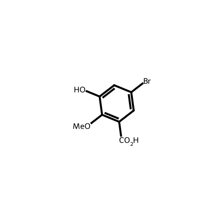 COc1c(O)cc(Br)cc1C(=O)O